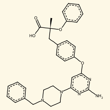 C[C@](Cc1ccc(Oc2cc(N3CCN(Cc4ccccc4)CC3)nc(N)n2)cc1)(Oc1ccccc1)C(=O)O